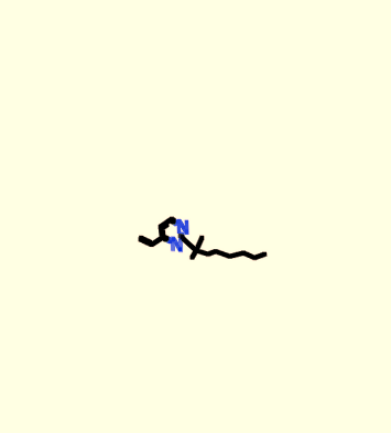 C=Cc1ccnc(C(C)(C)CCCCCC)n1